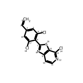 C=Cc1cc(Cl)c(-c2nc3ccnc(Cl)c3s2)c(Cl)c1